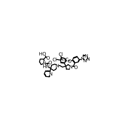 COc1ccc(-n2cnnn2)cc1C(=O)N1CCC(CCN2CCC(NC(=O)N3CCCC3C(=O)O)(c3ccccn3)CC2)(c2ccc(Cl)c(Cl)c2)C1